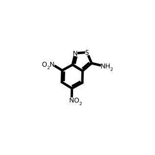 Nc1snc2c([N+](=O)[O-])cc([N+](=O)[O-])cc12